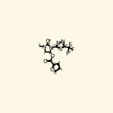 CN1CC(OC(=O)c2ccco2)N(c2nnc(C(F)(F)F)s2)C1=O